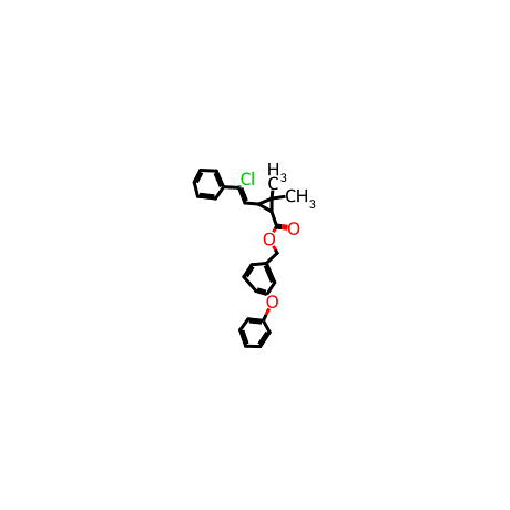 CC1(C)C(C=C(Cl)c2ccccc2)C1C(=O)OCc1cccc(Oc2ccccc2)c1